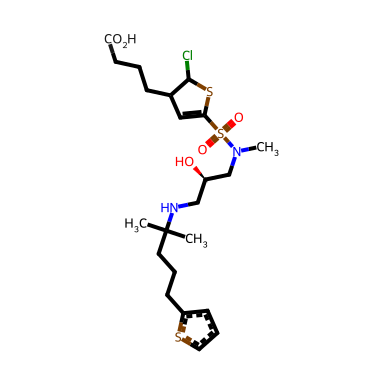 CN(C[C@H](O)CNC(C)(C)CCCc1cccs1)S(=O)(=O)C1=CC(CCCC(=O)O)C(Cl)S1